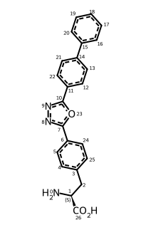 N[C@@H](Cc1ccc(-c2nnc(-c3ccc(-c4ccccc4)cc3)o2)cc1)C(=O)O